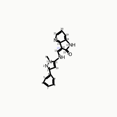 Cn1nc(-c2ccccc2)cc1N/C=C1\C(=O)Nc2cccnc21